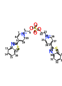 O=S(=O)(OCC[n+]1ccc(-c2nc3ccccc3s2)cc1)OCC[n+]1ccc(-c2nc3ccccc3s2)cc1